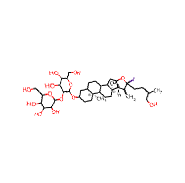 C=C1[C@H]2C(CC3C4CCC5CC(OC6OC(CO)C(O)C(O)C6OC6OC(CO)C(O)C(O)C6O)CC[C@]5(C)C4CC[C@@]32C)OC1(I)CCC(C)CO